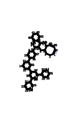 C1=C\CCC2Cc3c(-c4ccc(-c5cccc(-c6cc(-c7cccnc7)nc(-c7cccnc7)c6)c5)cc4)nc4ccccc4c3N=C2\C=C/1